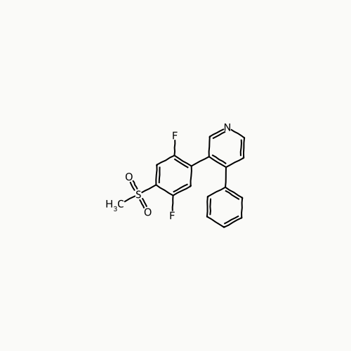 CS(=O)(=O)c1cc(F)c(-c2cnccc2-c2ccccc2)cc1F